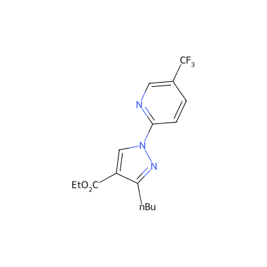 CCCCc1nn(-c2ccc(C(F)(F)F)cn2)cc1C(=O)OCC